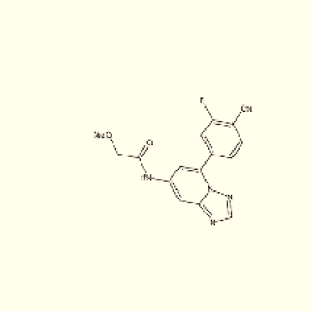 COCC(=O)Nc1cc(-c2ccc(C#N)c(F)c2)n2ncnc2c1